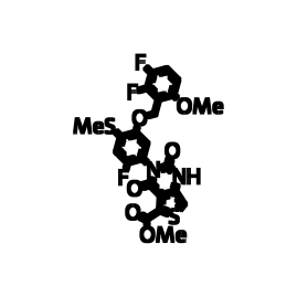 COC(=O)c1scc2[nH]c(=O)n(-c3cc(OCc4c(OC)ccc(F)c4F)c(SC)cc3F)c(=O)c12